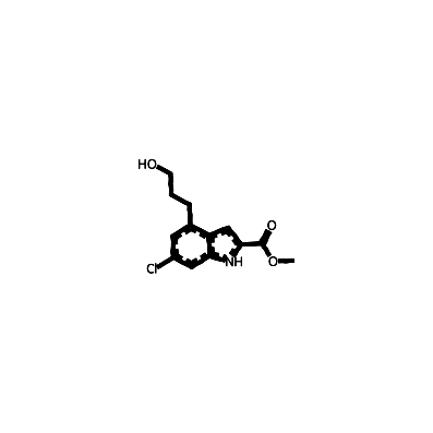 COC(=O)c1cc2c(CCCO)cc(Cl)cc2[nH]1